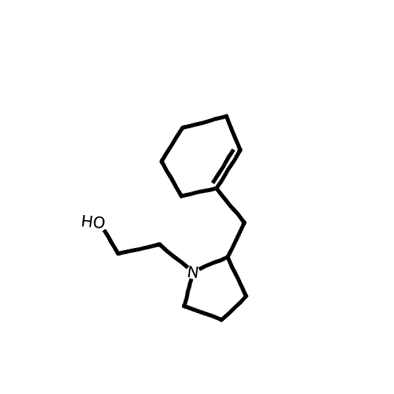 OCCN1CCCC1CC1=CCCCC1